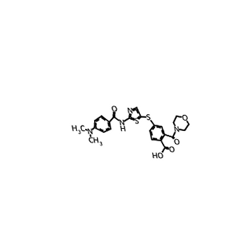 CN(C)c1ccc(C(=O)Nc2ncc(Sc3ccc(C(=O)O)c(C(=O)N4CCOCC4)c3)s2)cc1